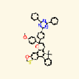 COc1ccc(C2(c3ccc(-c4nc(-c5ccccc5)nc(-c5ccccc5)n4)cc3)C=Cc3c4c(c5cc6c(cc5c3O2)OCS6)-c2ccccc2C4(C)C)cc1